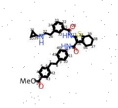 COC(=O)c1ccc(CCc2ccc(NC(=O)c3c(NC(=O)c4cccc(CCNC5CC5)c4)sc4c3CCCC4)cc2)cc1